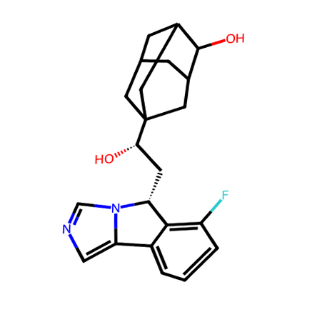 OC1C2CC3CC1CC([C@@H](O)C[C@@H]1c4c(F)cccc4-c4cncn41)(C3)C2